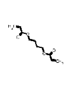 C=CC(=O)OCCCCOC(=O)C=C